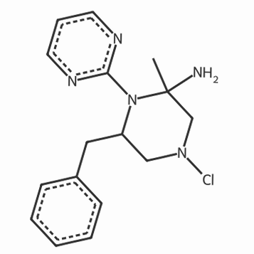 CC1(N)CN(Cl)CC(Cc2ccccc2)N1c1ncccn1